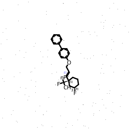 CCCC(C)(F)[C@@]1(/C=C/COc2ccc(-c3ccccc3)cc2)CCC[C@@H](F)C1